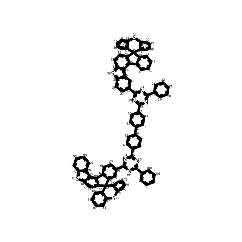 c1ccc(-c2nc(-c3ccc(-c4ccc(-c5nc(-c6ccccc6)nc(-c6ccc7sc8ccc9c(c8c7c6)-c6ccccc6C96c7ccccc7Sc7ccccc76)n5)cc4)cc3)nc(-c3ccc4c(c3)C3(c5ccccc5Sc5ccccc53)c3ccc5sc6ccccc6c5c3-4)n2)cc1